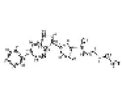 CCCOCCNC(=O)c1cc(-c2cnn3cc(-c4cccnc4)cnc23)cs1